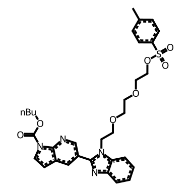 CCCCOC(=O)n1ccc2cc(-c3nc4ccccc4n3CCOCCOCCOS(=O)(=O)c3ccc(C)cc3)cnc21